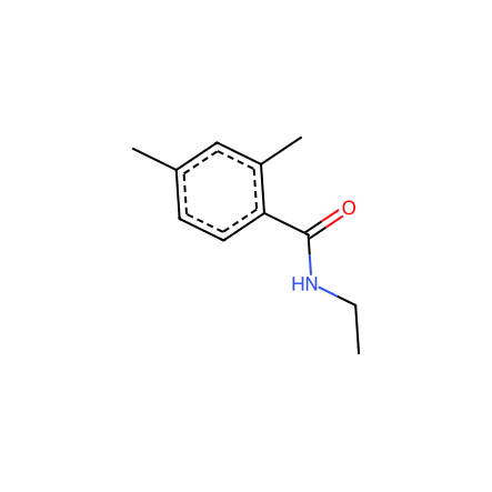 CCNC(=O)c1ccc(C)cc1C